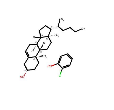 CC(C)CCCC(C)[C@H]1CC[C@H]2[C@@H]3CC=C4C[C@@H](O)CC[C@]4(C)[C@H]3CC[C@]12C.Oc1ccccc1Cl